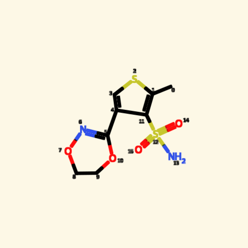 Cc1scc(C2=NOCCO2)c1S(N)(=O)=O